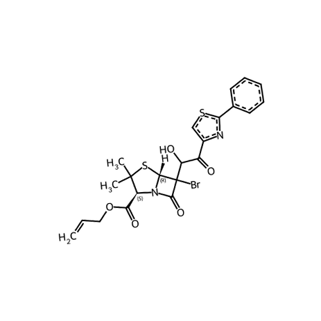 C=CCOC(=O)[C@@H]1N2C(=O)C(Br)(C(O)C(=O)c3csc(-c4ccccc4)n3)[C@H]2SC1(C)C